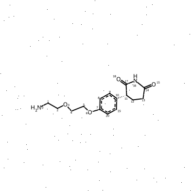 NCCOCCOc1ccc([C@H]2CCC(=O)NC2=O)cc1